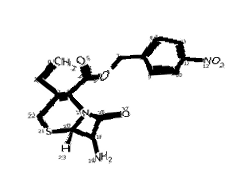 C=CC1=C(C(=O)OCc2ccc([N+](=O)[O-])cc2)N2C(=O)C(N)[C@@H]2SC1